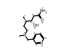 C[C@H](CCN(C)Cc1cccnc1)[C@@H](O)CC(N)=O